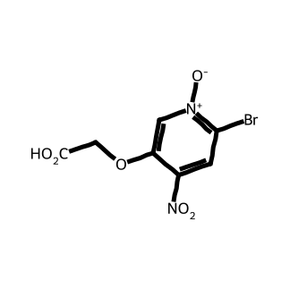 O=C(O)COc1c[n+]([O-])c(Br)cc1[N+](=O)[O-]